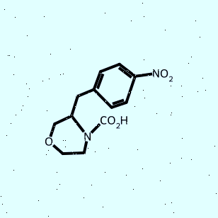 O=C(O)N1CCOCC1Cc1ccc([N+](=O)[O-])cc1